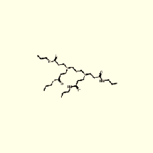 CCCNC(=O)CCN(CCCN(CCC(=O)OCCC)CCC(=O)OCCC)CCC(=O)NCCC